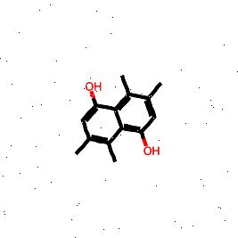 Cc1cc(O)c2c(C)c(C)cc(O)c2c1C